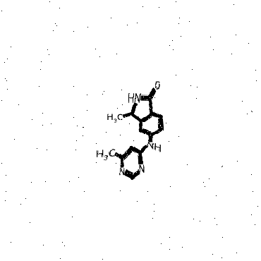 Cc1cc(Nc2ccc3c(c2)C(C)NC3=O)ncn1